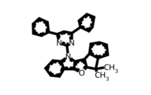 CC1(C)c2ccccc2-c2c1oc1c3ccccc3n(-c3nc(-c4ccccc4)cc(-c4ccccc4)n3)c21